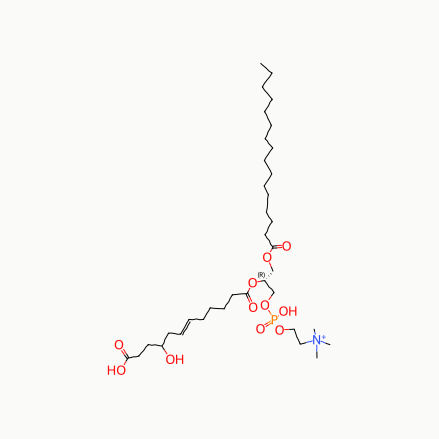 CCCCCCCCCCCCCCCC(=O)OC[C@H](COP(=O)(O)OCC[N+](C)(C)C)OC(=O)CCCCC=CCC(O)CCC(=O)O